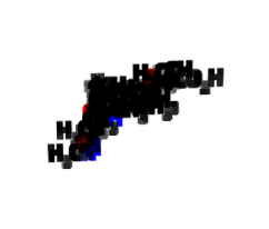 Cc1nnc([C@H]2C[C@@H](NC(=O)[C@]34CC[C@@H](C5(C)CC5)[C@@H]3[C@H]3CC[C@@H]5[C@@]6(C)CC[C@H](OC(=O)[C@H]7C[C@@H](C(=O)O)C7(C)C)C(C)(C)[C@@H]6CC[C@@]5(C)[C@]3(C)CC4)C2(C)C)o1